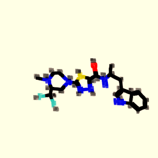 CC(Cc1c[nH]c2ccccc12)NC(=O)c1nnc(N2CCN(C)C(C(F)F)C2)s1